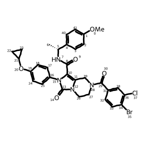 COc1ccc([C@@H](C)NC(=O)c2c3n(c(=O)n2-c2ccc(OC4CC4)cc2)CCN(C(=O)c2ccc(Br)c(Cl)c2)C3)cc1